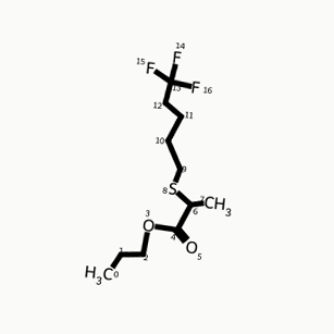 CCCOC(=O)C(C)SCCCCC(F)(F)F